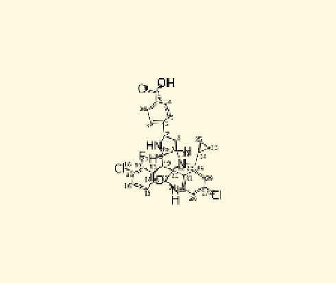 O=C(O)c1ccc([C@H]2C[C@H]3[C@@H](N2)[C@H](c2cccc(Cl)c2F)[C@]2(C(=O)Nc4cc(Cl)ccc42)N3CC2CC2)cc1